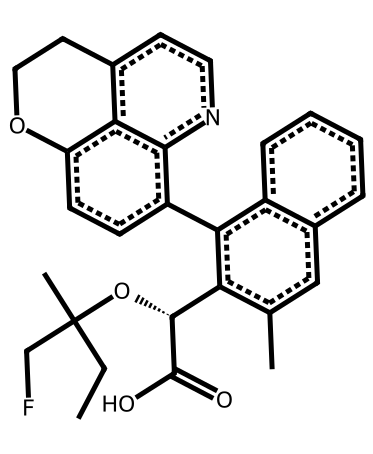 CCC(C)(CF)O[C@@H](C(=O)O)c1c(C)cc2ccccc2c1-c1ccc2c3c(ccnc13)CCO2